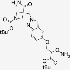 CC(C)(C)OC(=O)C(COc1ccc2nn(CC3(C(N)=O)CN(C(=O)OC(C)(C)C)C3)cc2c1)ON